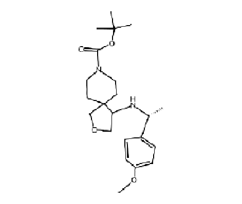 COc1ccc([C@@H](C)NC2COCC23CCN(C(=O)OC(C)(C)C)CC3)cc1